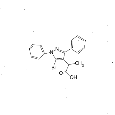 CC(C(=O)O)c1c(-c2ccccc2)nn(-c2ccccc2)c1Br